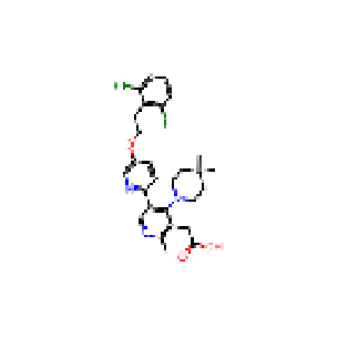 Cc1ncc(-c2ccc(OCCc3c(F)cccc3Cl)cn2)c(N2CCC(C)(C)CC2)c1CC(=O)O